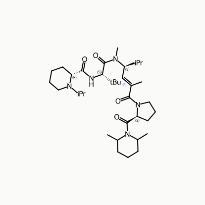 C/C(=C\[C@H](C(C)C)N(C)C(=O)[C@@H](NC(=O)[C@H]1CCCCN1C(C)C)C(C)(C)C)C(=O)N1CCC[C@H]1C(=O)N1C(C)CCCC1C